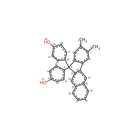 Cc1cc2c(cc1C)C(c1ccc(O)cc1)(c1ccc(O)cc1)c1cc3ccccc3cc1-2